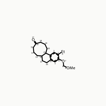 CCc1cc2c(cc1OCOC)CCC1CCCC(=O)CCCC21